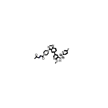 COc1ncc(-c2ccc3ncnc(N4CCN(C(=O)/C=C/C(C)=O)CC4)c3c2)cc1NS(=O)(=O)c1ccc(F)cn1